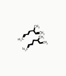 C=CC=CC(C)C=C.C=CCCC(C)C=C